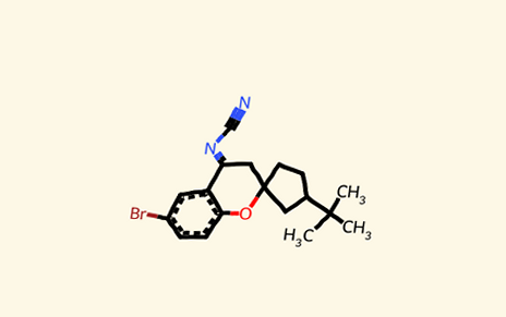 CC(C)(C)C1CCC2(CC(=NC#N)c3cc(Br)ccc3O2)C1